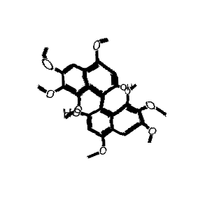 COc1cc2c(OC)cc(O)c(-c3c(O)cc(OC)c4cc(OC)c(OC)c(OC)c34)c2c(OC)c1OC